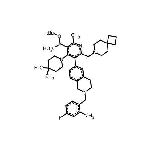 Cc1cc(F)ccc1CN1CCc2cc(-c3c(CN4CCC5(CCC5)CC4)nc(C)c([C@H](OC(C)(C)C)C(=O)O)c3N3CCC(C)(C)CC3)ccc2C1